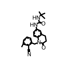 Cc1cccc(CN2C(=O)CCc3cc(NC(=O)NC(C)(C)C)ccc32)c1C#N